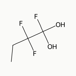 CCC(F)(F)C(O)(O)F